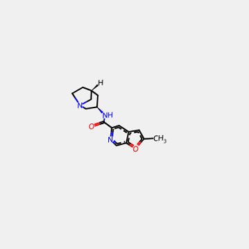 Cc1cc2cc(C(=O)N[C@@H]3C[C@H]4CCN(C4)C3)ncc2o1